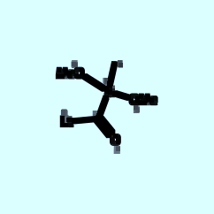 CCC(=O)[Si](C)(OC)OC